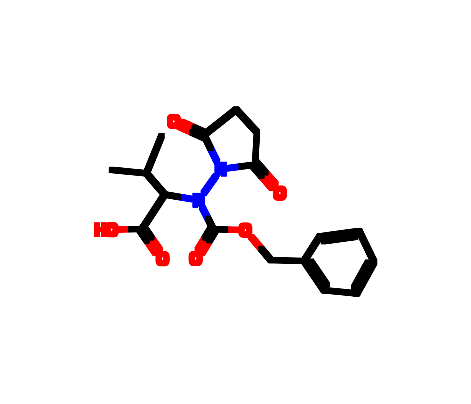 CC(C)C(C(=O)O)N(C(=O)OCc1ccccc1)N1C(=O)CCC1=O